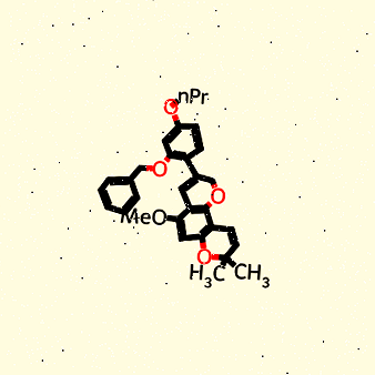 CCCOc1ccc(C2=Cc3c(OC)cc4c(c3OC2)C=CC(C)(C)O4)c(OCc2ccccc2)c1